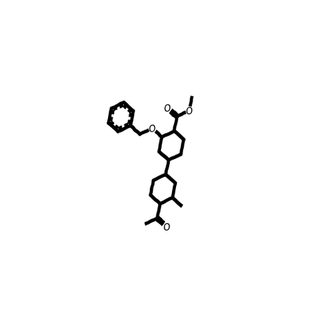 COC(=O)C1CCC(C2CCC(C(C)=O)C(C)C2)CC1OCc1ccccc1